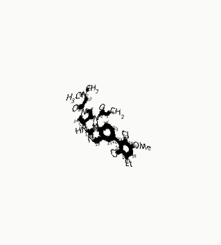 C=CC(=O)NC1CN(C(=O)CN(C)C)CC1Nc1ncc2cc(-c3c(Cl)c(CC)cc(OC)c3Cl)ccc2n1